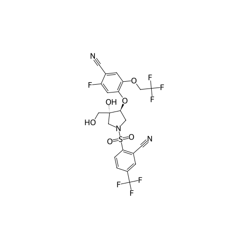 N#Cc1cc(OCC(F)(F)F)c(O[C@H]2CN(S(=O)(=O)c3ccc(C(F)(F)F)cc3C#N)C[C@@]2(O)CO)cc1F